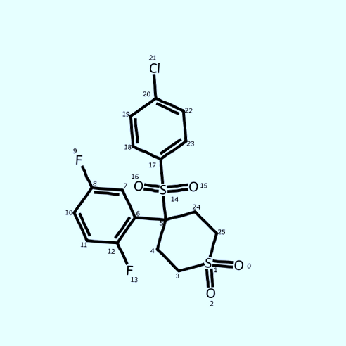 O=S1(=O)CCC(c2cc(F)ccc2F)(S(=O)(=O)c2ccc(Cl)cc2)CC1